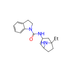 CCC12CCC(CC(NC(=O)N3CCc4ccccc43)C1)N2